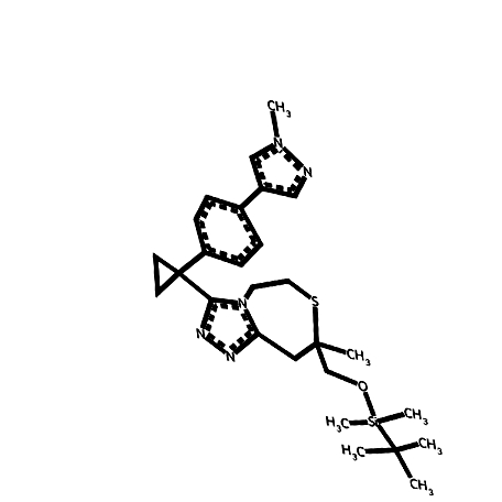 Cn1cc(-c2ccc(C3(c4nnc5n4CCSC(C)(CO[Si](C)(C)C(C)(C)C)C5)CC3)cc2)cn1